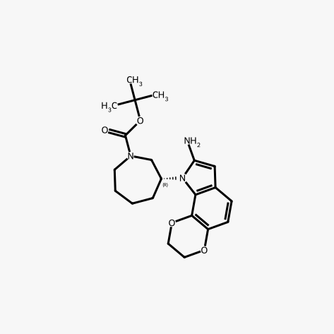 CC(C)(C)OC(=O)N1CCCC[C@@H](n2c(N)cc3ccc4c(c32)OCCO4)C1